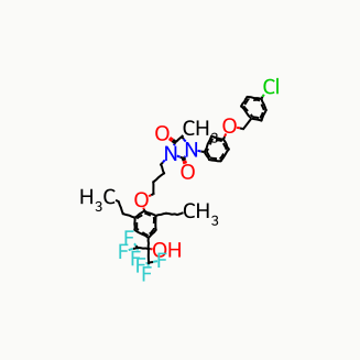 CCCc1cc(C(O)(C(F)(F)F)C(F)(F)F)cc(CCC)c1OCCCCN1C(=O)C(C)N(c2cccc(OCc3ccc(Cl)cc3)c2)C1=O